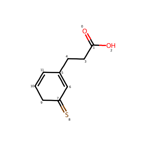 O=C(O)CCC1=CC(=S)CC=C1